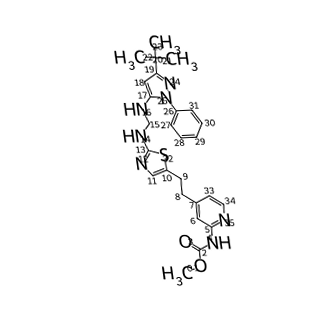 COC(=O)Nc1cc(CCc2cnc(NCNc3cc(C(C)(C)C)nn3-c3ccccc3)s2)ccn1